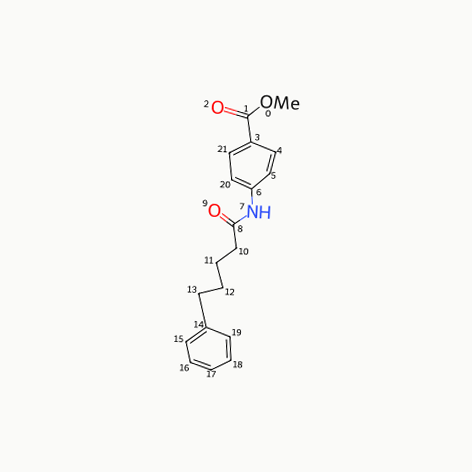 COC(=O)c1ccc(NC(=O)CCCCc2ccccc2)cc1